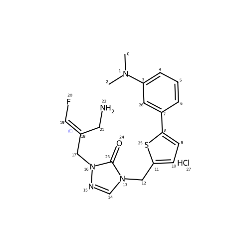 CN(C)c1cccc(-c2ccc(Cn3cnn(C/C(=C/F)CN)c3=O)s2)c1.Cl